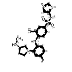 CN[C@@H]1CCN(c2cc(F)ccc2Nc2ccc(S(=O)(=O)Nc3cscn3)cc2Cl)C1